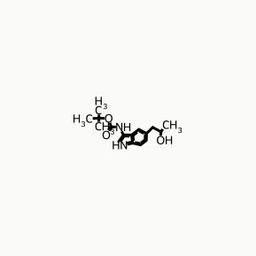 CC(O)Cc1ccc2[nH]cc(NC(=O)OC(C)(C)C)c2c1